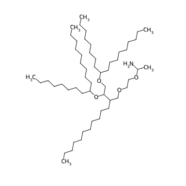 CCCCCCCCCCCC(COCCOC(C)N)C(COC(CCCCCCCC)CCCCCCCCC)OC(CCCCCCCC)CCCCCCCCC